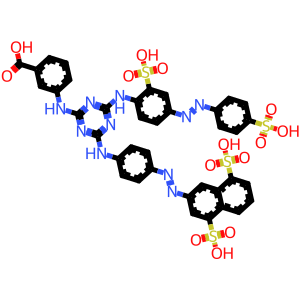 O=C(O)c1cccc(Nc2nc(Nc3ccc(N=Nc4cc(S(=O)(=O)O)c5cccc(S(=O)(=O)O)c5c4)cc3)nc(Nc3ccc(N=Nc4ccc(S(=O)(=O)O)cc4)cc3S(=O)(=O)O)n2)c1